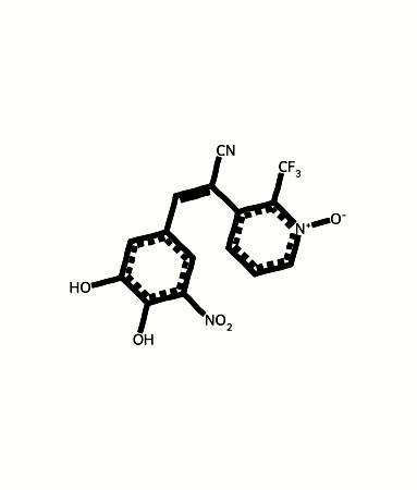 N#CC(=Cc1cc(O)c(O)c([N+](=O)[O-])c1)c1ccc[n+]([O-])c1C(F)(F)F